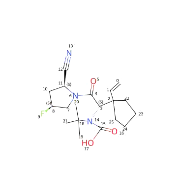 C=CC1([C@@H](C(=O)N2C[C@@H](F)C[C@H]2C#N)N(C(=O)O)C(C)(C)C)CCCC1